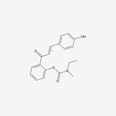 CCN(C)C(=O)Oc1ccccc1C(=O)/C=C/c1ccc(O)cc1